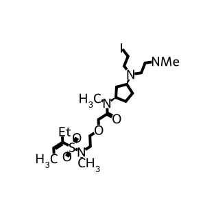 C/C=C(/CC)S(=O)(=O)N(C)CCOCC(=O)N(C)[C@@H]1CC[C@H](N(CCI)CCNC)C1